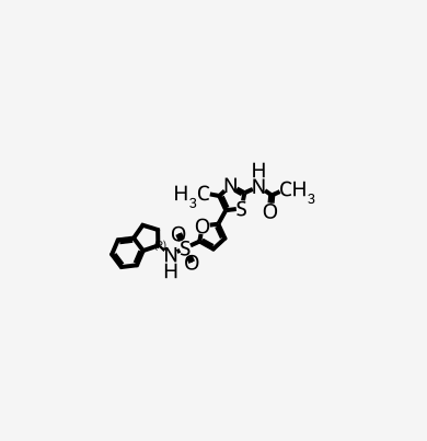 CC(=O)Nc1nc(C)c(-c2ccc(S(=O)(=O)N[C@@H]3CCc4ccccc43)o2)s1